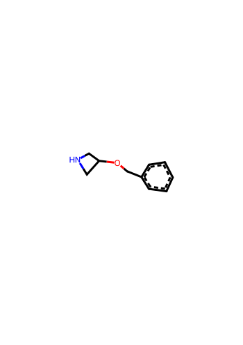 c1ccc(COC2CNC2)cc1